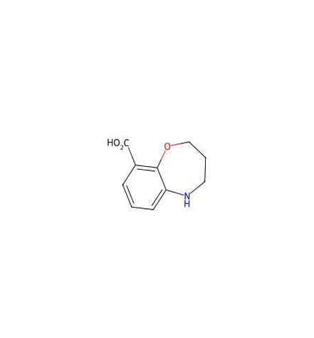 O=C(O)c1cccc2c1OCCCN2